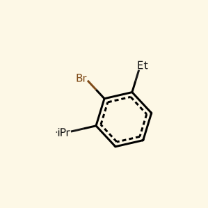 CCc1cccc([C](C)C)c1Br